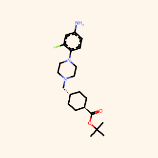 CC(C)(C)OC(=O)[C@H]1CC[C@H](CN2CCN(c3ccc(N)cc3F)CC2)CC1